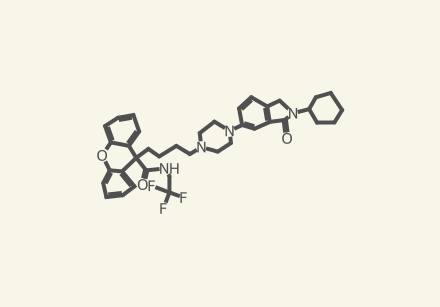 O=C1c2cc(N3CCN(CCCCC4(C(=O)NCC(F)(F)F)c5ccccc5Oc5ccccc54)CC3)ccc2CN1C1CCCCC1